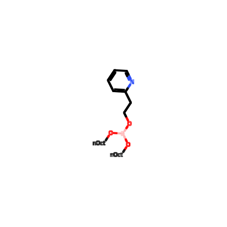 CCCCCCCCOB(OCCCCCCCC)OCCc1ccccn1